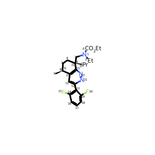 CCOC(=O)N(CC)C[C@@]1(C(C)C)CC[C@H](C)c2cc(-c3c(F)cccc3F)nnc21